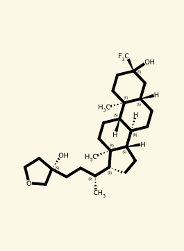 C[C@H](CC[C@]1(O)CCOC1)[C@H]1CC[C@H]2[C@@H]3CC[C@H]4C[C@](O)(C(F)(F)F)CC[C@]4(C)[C@H]3CC[C@]12C